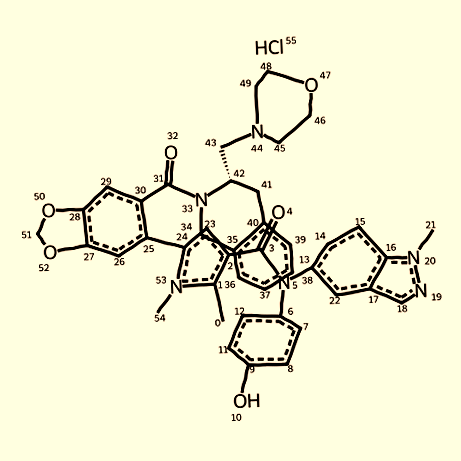 Cc1c(C(=O)N(c2ccc(O)cc2)c2ccc3c(cnn3C)c2)cc(-c2cc3c(cc2C(=O)N2Cc4ccccc4C[C@H]2CN2CCOCC2)OCO3)n1C.Cl